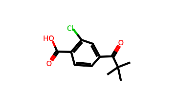 CC(C)(C)C(=O)c1ccc(C(=O)O)c(Cl)c1